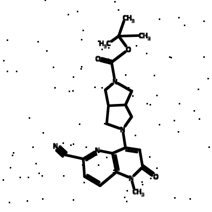 Cn1c(=O)cc(N2CC3CN(C(=O)OC(C)(C)C)CC3C2)c2nc(C#N)ccc21